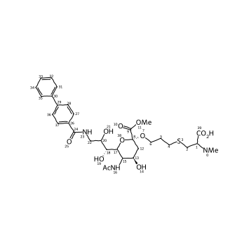 CNC(CSCCCO[C@]1(C(=O)OC)C[C@@H](O)C(NC(C)=O)C([C@H](O)C(O)CNC(=O)c2ccc(-c3ccccc3)cc2)O1)C(=O)O